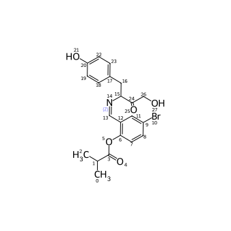 CC(C)C(=O)Oc1ccc(Br)cc1/C=N\C(Cc1ccc(O)cc1)C(=O)CO